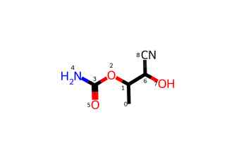 CC(OC(N)=O)C(O)C#N